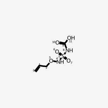 C=CCONS(=O)(=O)NC(=O)O